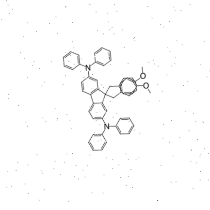 COc1ccc(CC2(Cc3ccc(OC)cc3)c3cc(N(c4ccccc4)c4ccccc4)ccc3-c3ccc(N(c4ccccc4)c4ccccc4)cc32)cc1